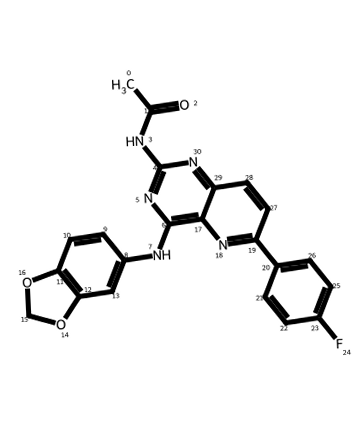 CC(=O)Nc1nc(Nc2ccc3c(c2)OCO3)c2nc(-c3ccc(F)cc3)ccc2n1